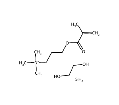 C=C(C)C(=O)OCCC[N+](C)(C)C.OCCO.[SiH4]